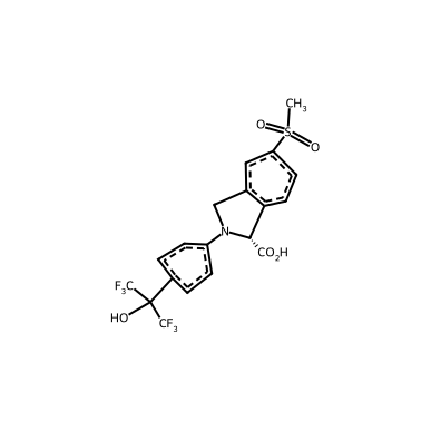 CS(=O)(=O)c1ccc2c(c1)CN(c1ccc(C(O)(C(F)(F)F)C(F)(F)F)cc1)[C@H]2C(=O)O